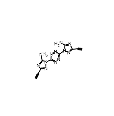 C#Cc1nc(N)n(-c2nnc(-n3nc(C#C)nc3N)nn2)n1